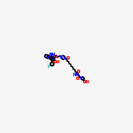 Nc1nnc(-c2cc(F)ccc2O)cc1N1C2CCC1CN(c1cccc(OCCN3CCN(C(=O)CCCCCCCCCC(=O)NCC(=O)N4CC[C@@H](O)C4)CC3)c1)C2